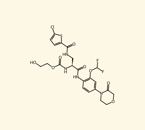 O=C(N[C@@H](CNC(=O)c1ccc(Cl)s1)C(=O)Nc1ccc(N2CCOCC2=O)cc1OC(F)F)OCCO